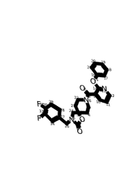 O=C1OC2(CCN(C(=O)c3cccnc3Oc3ccccc3)CC2)CN1Cc1ccc(F)c(F)c1